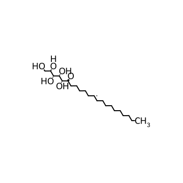 CCCCCCCCCC[CH]CCCCCC(=O)[C@H](O)[C@@H](O)[C@H](O)[C@H](O)CO